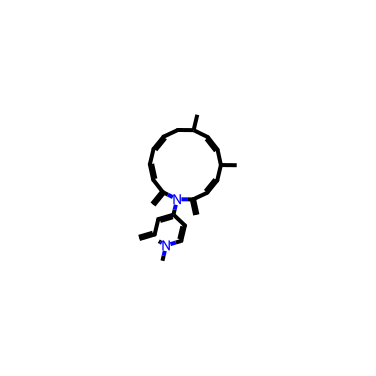 C=C/C=C(\C=C/N(C)C)N1C(=C)/C=C\C=C/CC(C)/C=C\C(C)/C=C\C1=C